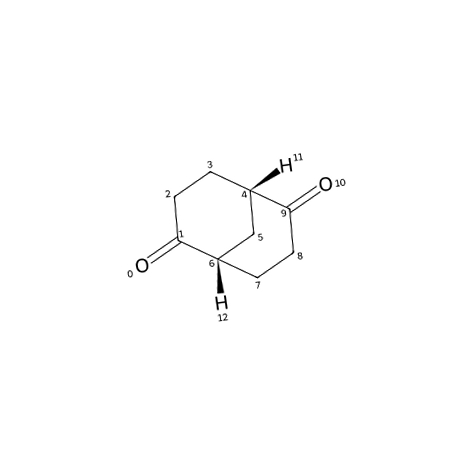 O=C1CC[C@H]2C[C@@H]1CCC2=O